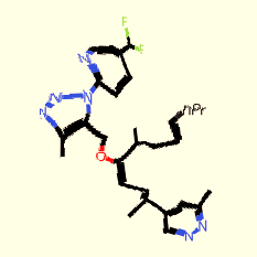 CCC/C=C/CC(C)/C(=C\C=C(/C)c1cnnc(C)c1)OCc1c(C)nnn1-c1ccc(C(F)F)cn1